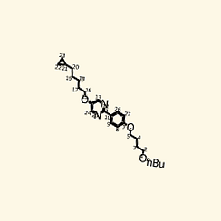 CCCCOCCCCOc1ccc(-c2ncc(OCCCCCC3CC3)cn2)cc1